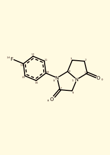 O=C1CCC2N1CC(=O)N2c1ccc(F)cc1